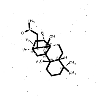 C[S+]([O-])C[C@@H]1[C@@H]2CC[C@]3(CC[C@H]4[C@](C)(CCC[C@]4(C)N)[C@@H]3C2)[C@@H]1O